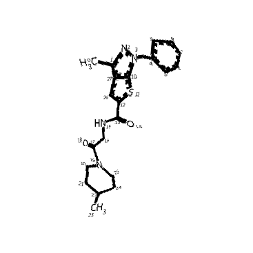 Cc1nn(-c2ccccc2)c2sc(C(=O)NCC(=O)N3CCC(C)CC3)cc12